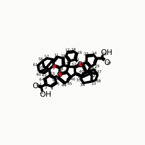 O=C(O)c1ccc(Oc2ccccc2C2(c3ccccc3Oc3ccc(C(=O)O)cc3C34CC5CC(CC(C5)C3)C4)c3ccccc3-c3ccccc32)c(C23CC4CC(CC(C4)C2)C3)c1